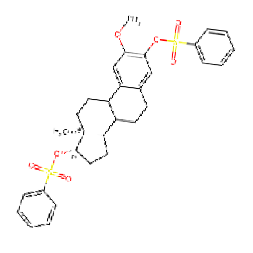 COc1cc2c(cc1OS(=O)(=O)c1ccccc1)CCC1C2CC[C@@]2(C)C1CC[C@@H]2OS(=O)(=O)c1ccccc1